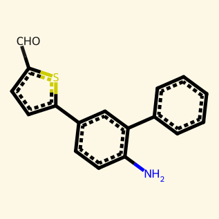 Nc1ccc(-c2ccc(C=O)s2)cc1-c1ccccc1